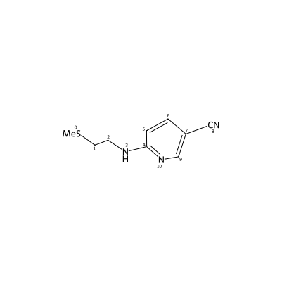 CSCCNc1ccc(C#N)cn1